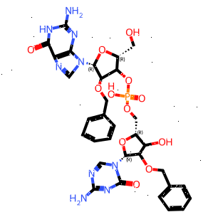 Nc1ncn([C@@H]2O[C@H](COP(=O)(O)OC3C(OCc4ccccc4)[C@H](n4cnc5c(=O)[nH]c(N)nc54)O[C@@H]3CO)C(O)C2OCc2ccccc2)c(=O)n1